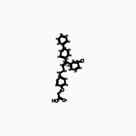 O=C(O)COc1ccc(SC/C=C(/c2ccc(-c3ccccc3)cc2)c2cccc(Cl)c2)cc1